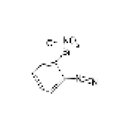 N#[N+]c1ccccc1Br.O=[N+]([O-])[O-]